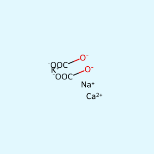 O=C([O-])[O-].O=C([O-])[O-].[Ca+2].[K+].[Na+]